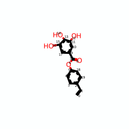 C=Cc1ccc(OC(=O)c2cc(O)c(O)c(O)c2)cc1